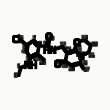 CCNc1cc(Cl)cc(C(=O)NCc2c3n(c(C)cc2=O)CCCO3)c1C